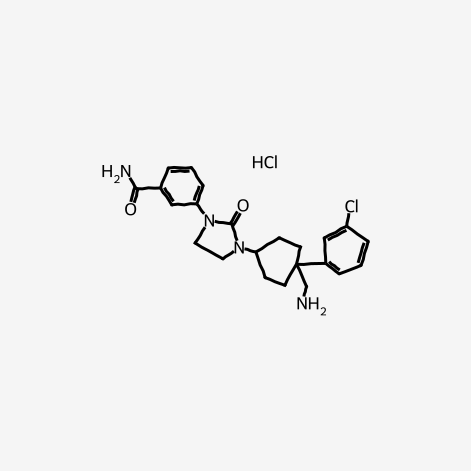 Cl.NCC1(c2cccc(Cl)c2)CCC(N2CCN(c3cccc(C(N)=O)c3)C2=O)CC1